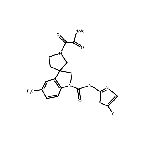 CNC(=O)C(=O)N1CCC2(C1)CN(C(=O)Nc1ncc(Cl)s1)c1ccc(C(F)(F)F)cc12